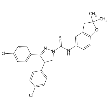 CC1(C)Cc2cc(NC(=S)N3CC(c4ccc(Cl)cc4)C(c4ccc(Cl)cc4)=N3)ccc2O1